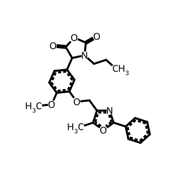 CCCN1C(=O)OC(=O)C1c1ccc(OC)c(OCc2nc(-c3ccccc3)oc2C)c1